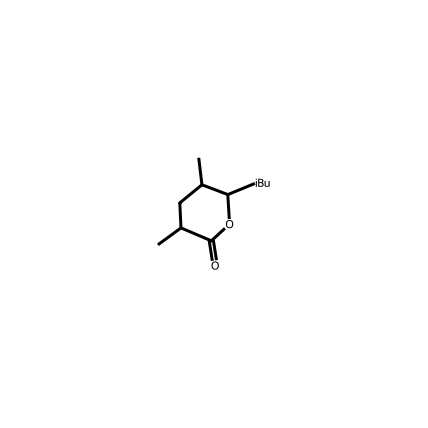 CCC(C)C1OC(=O)C(C)CC1C